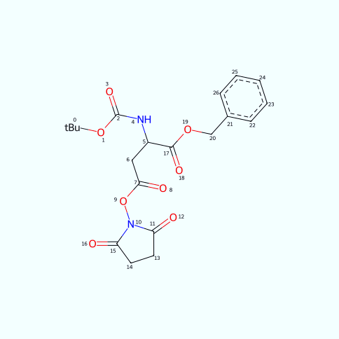 CC(C)(C)OC(=O)NC(CC(=O)ON1C(=O)CCC1=O)C(=O)OCc1ccccc1